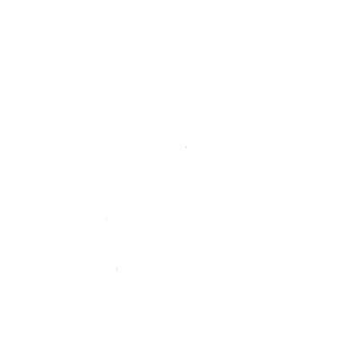 CCCCOc1cc(C)c(C=O)c(O)c1